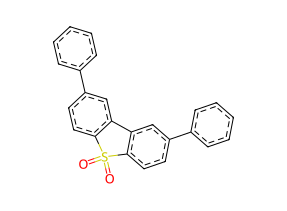 O=S1(=O)c2ccc(-c3ccccc3)cc2-c2cc(-c3ccccc3)ccc21